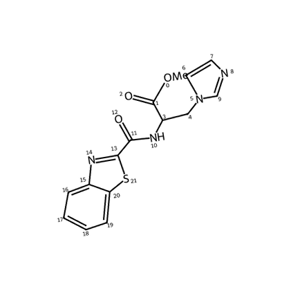 COC(=O)C(Cn1ccnc1)NC(=O)c1nc2ccccc2s1